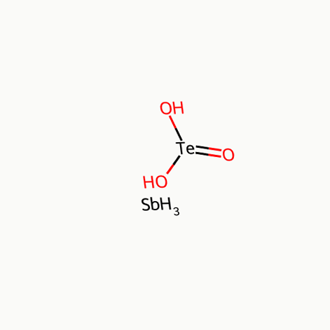 O=[Te](O)O.[SbH3]